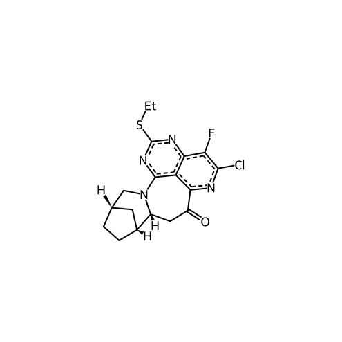 CCSc1nc2c3c(nc(Cl)c(F)c3n1)C(=O)C[C@@H]1[C@@H]3CC[C@@H](C3)CN21